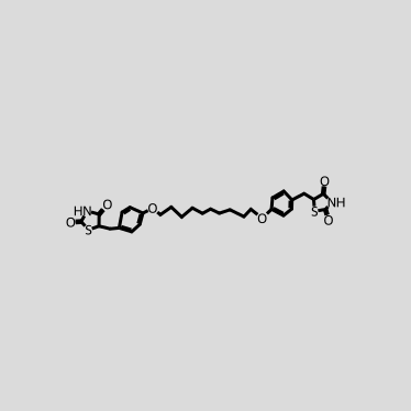 O=C1NC(=O)C(Cc2ccc(OCCCCCCCCCCOc3ccc(CC4SC(=O)NC4=O)cc3)cc2)S1